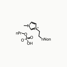 CCCCCCCCCCC[n+]1ccn(C)c1.CCCOP(=O)([O-])O